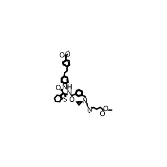 CCOC(=O)CCCN(C)CCN(Cc1cccc(C(=O)Nc2sc3c(c2C(=O)Nc2ccc(CCc4ccc(C(=O)OC)cc4)cc2)CCCC3)c1)C1CC1